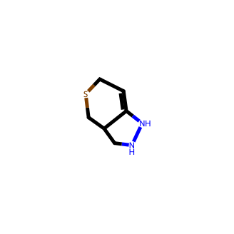 C1=C2NNCC2CSC1